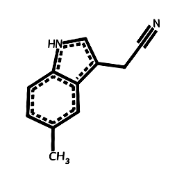 Cc1ccc2[nH]cc(CC#N)c2c1